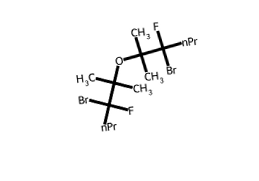 CCCC(F)(Br)C(C)(C)OC(C)(C)C(F)(Br)CCC